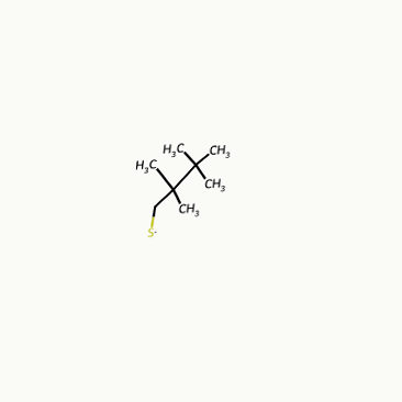 CC(C)(C)C(C)(C)C[S]